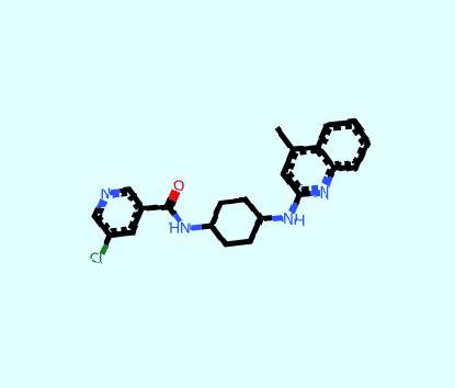 Cc1cc(NC2CCC(NC(=O)c3cncc(Cl)c3)CC2)nc2ccccc12